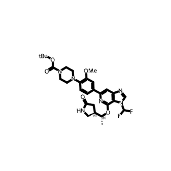 COc1cc(-c2cc3ncn(C(F)F)c3c(O[C@H](C)[C@H]3CNC(=O)C3)n2)ccc1N1CCN(C(=O)OC(C)(C)C)CC1